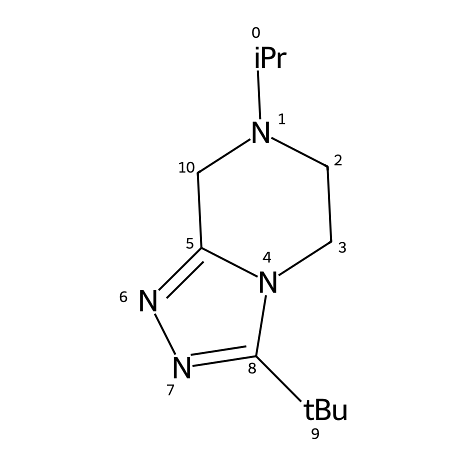 CC(C)N1CCn2c(nnc2C(C)(C)C)C1